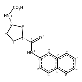 O=C(O)N[C@H]1CC[C@@H](C(=O)Nc2ccc3ccccc3n2)C1